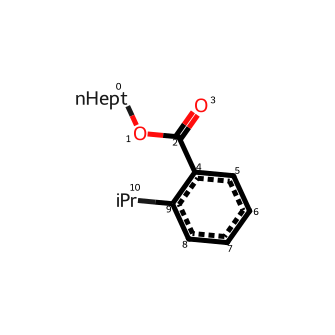 CCCCCCCOC(=O)c1ccccc1C(C)C